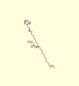 CCC(=O)O.CCCCCCCCCCCCCCCCCCCN=CCC(=O)OC